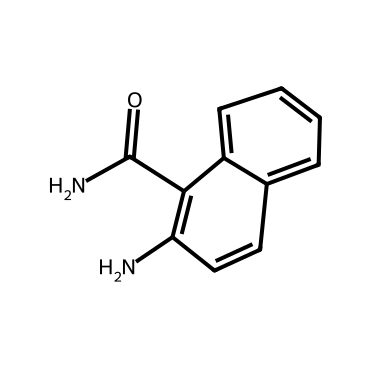 NC(=O)c1c(N)ccc2ccccc12